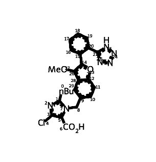 CCCCc1nc(Cl)c(C(=O)O)n1Cc1ccc2oc(-c3ccccc3-c3nnn[nH]3)c(OC)c2c1